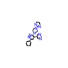 c1ccc(-c2cc(-c3cncnc3)c(N3CCN(c4ncccn4)CC3)nn2)cc1